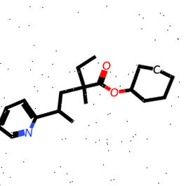 CCC(C)(CC(C)c1ccccn1)C(=O)OC1CCCCC1